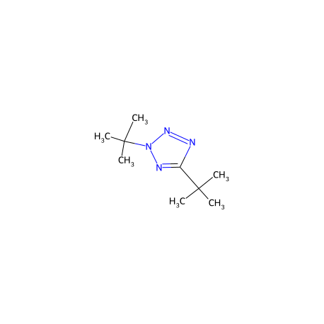 CC(C)(C)c1nnn(C(C)(C)C)n1